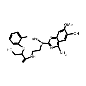 C=C(NCCN(CCC)c1nc(N)c2cc(O)c(OC)cc2n1)C(CO)Oc1ccccc1C